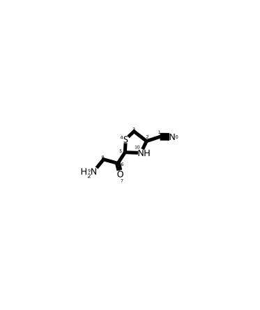 N#CC1CSC(C(=O)CN)N1